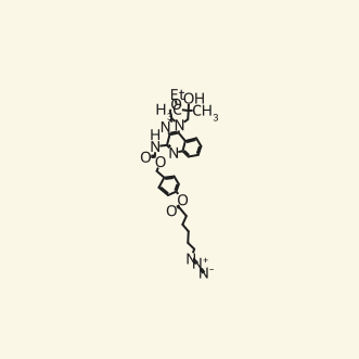 CCOCc1nc2c(NC(=O)OCc3ccc(OC(=O)CCCCCN=[N+]=[N-])cc3)nc3ccccc3c2n1CC(C)(C)O